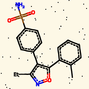 CCc1noc(-c2ccccc2C)c1-c1ccc(S(N)(=O)=O)cc1